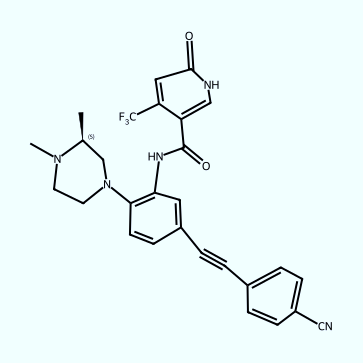 C[C@H]1CN(c2ccc(C#Cc3ccc(C#N)cc3)cc2NC(=O)c2c[nH]c(=O)cc2C(F)(F)F)CCN1C